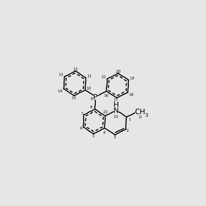 CC1C=Cc2cccc(P(c3ccccc3)c3ccccc3)c2N1